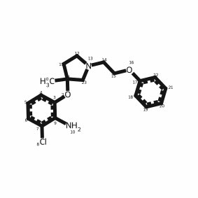 CC1(Oc2cccc(Cl)c2N)CCN(CCOc2ccccc2)C1